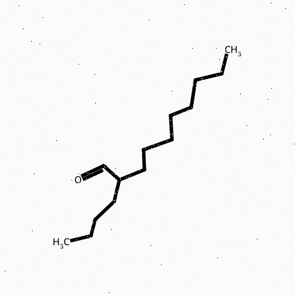 CCCCCCCCC([C]=O)CCCC